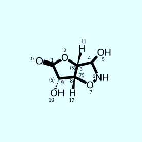 O=C1O[C@@H]2C(O)NO[C@@H]2[C@@H]1O